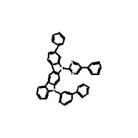 c1ccc(-c2cnc(-n3c4cc(-c5ccccc5)ccc4c4cc5c6ccccc6n(-c6cccc(-c7ccccc7)c6)c5cc43)nc2)cc1